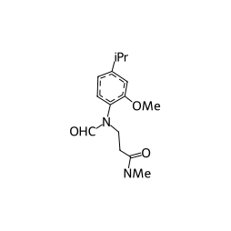 CNC(=O)CCN(C=O)c1ccc(C(C)C)cc1OC